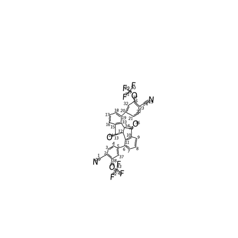 N#Cc1ccc(-c2cccc3c2C2C(=O)c4cccc(-c5ccc(C#N)c(OC(F)(F)F)c5)c4C2C3=O)cc1OC(F)(F)F